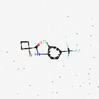 O=C(Nc1ccc(C(F)(F)F)cc1Cl)C1(Br)CCC1